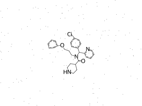 O=C(C1CCNCC1)N(CCCOc1ccccc1)C(c1ccc(Cl)cc1)c1ccccn1